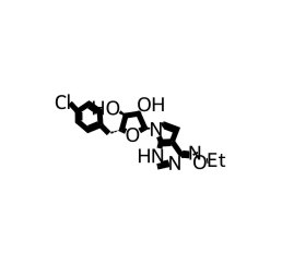 CCO/N=c1\nc[nH]c2c1ccn2[C@@H]1O[C@H](Cc2ccc(Cl)cc2)[C@@H](O)[C@H]1O